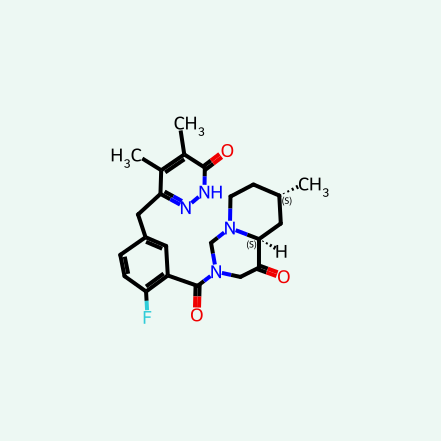 Cc1c(Cc2ccc(F)c(C(=O)N3CC(=O)[C@@H]4C[C@@H](C)CCN4C3)c2)n[nH]c(=O)c1C